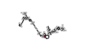 COC(=O)CC1=C2/C(=C/CSSC(C)(C)CCC(=O)NCCCOCCOCCCNC(=O)OCc3ccc(NC(=O)[C@H](CCCNC(N)=O)CC(=O)[C@@H](NC(=O)CCCCCN4C(=O)C=CC4=O)C(C)C)cc3)[C@](O)(C#C/C=C\C#C[C@@H]2OC2OC(C)C(NOC3CC(O)C(SC(=O)c4c(C)c(I)c(OC5OC(C)C(O)C(OC)C5O)c(C)c4OC)C(C)O3)C(O)C2OC2CC(C)C(CC(C)=O)CO2)CC1=O